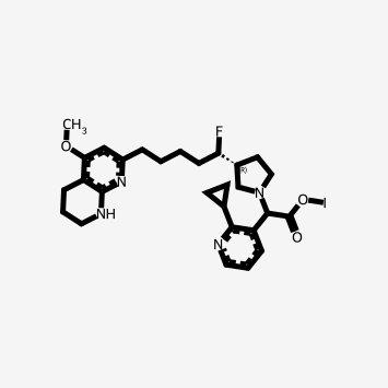 COc1cc(CCCCC(F)[C@@H]2CCN(C(C(=O)OI)c3cccnc3C3CC3)C2)nc2c1CCCN2